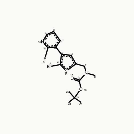 CN(Cc1cc(-c2cccnc2F)c(Br)s1)C(=O)OC(C)(C)C